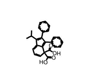 CC(C)C1=C(c2ccccc2)C(c2ccccc2)=C2C1=CC=CC2(C(=O)O)C(=O)O